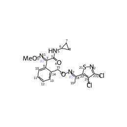 CO/N=C(/C(=O)NC1CC1)c1ccccc1CO/N=C(\C)c1snc(Cl)c1Cl